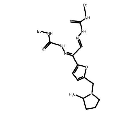 CCNC(=S)N/N=C/C(=N\NC(=S)NCC)c1ccc(CN2CCCC2C)o1